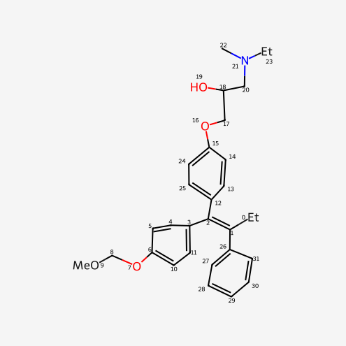 CCC(=C(c1ccc(OCOC)cc1)c1ccc(OCC(O)CN(C)CC)cc1)c1ccccc1